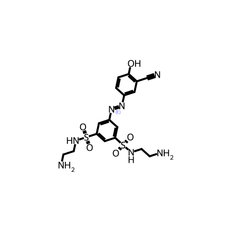 N#Cc1cc(/N=N/c2cc(S(=O)(=O)NCCN)cc(S(=O)(=O)NCCN)c2)ccc1O